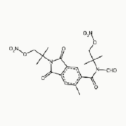 Cc1cc2c(cc1C(=O)N(C=O)C(C)(C)CO[N+](=O)[O-])C(=O)N(C(C)(C)CO[N+](=O)[O-])C2=O